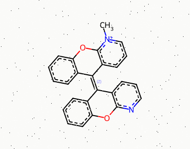 C[n+]1cccc2c1Oc1ccccc1/C2=C1\c2ccccc2Oc2ncccc21